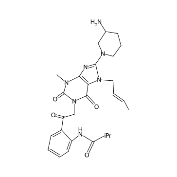 C/C=C/Cn1c(N2CCCC(N)C2)nc2c1c(=O)n(CC(=O)c1ccccc1NC(=O)C(C)C)c(=O)n2C